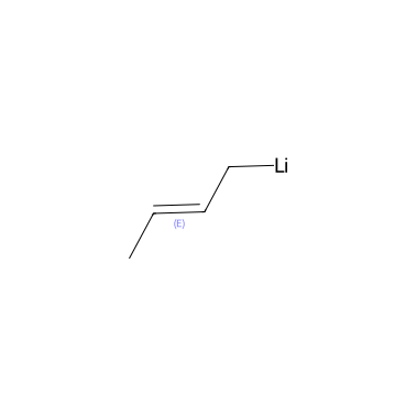 [Li][CH2]/C=C/C